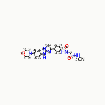 N#CCNC(=O)CNC(=O)c1ccc(-c2ccnc(Nc3ccc(N4CCOCC4)cc3)n2)cc1